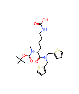 CN(C(=O)OC(C)(C)C)[C@@H](CCCCNC(=O)O)C(=O)N(Cc1cccs1)Cc1cccs1